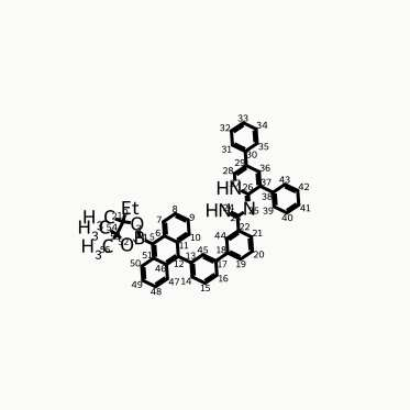 CCC1(C)OB(c2c3ccccc3c(-c3cccc(-c4cccc(C(=N)/N=c5\[nH]cc(-c6ccccc6)cc5-c5ccccc5)c4)c3)c3ccccc23)OC1(C)C